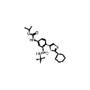 CC(C)OC(=O)Nc1ccc(-c2cnc(C3CCCCC3)s2)c([S+]([O-])NC(C)(C)C)c1